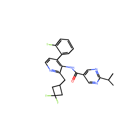 CC(C)c1ncc(C(=O)Nc2c(-c3ccccc3F)ccnc2CC2CC(F)(F)C2)cn1